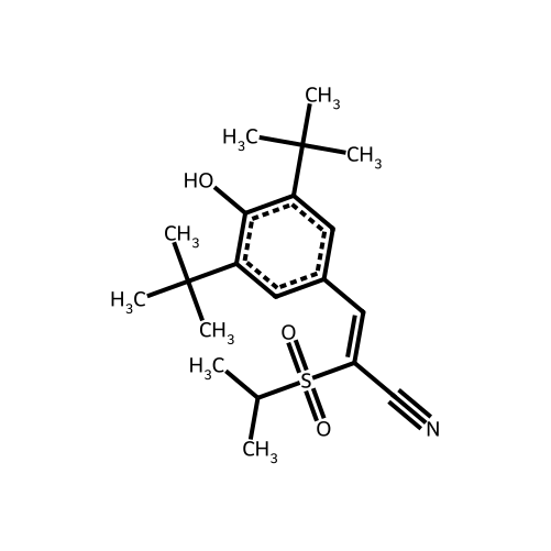 CC(C)S(=O)(=O)C(C#N)=Cc1cc(C(C)(C)C)c(O)c(C(C)(C)C)c1